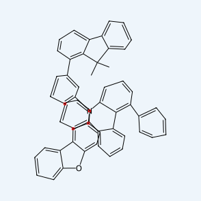 CC1(C)c2ccccc2-c2cccc(-c3cccc(N(c4ccc5oc6ccccc6c5c4)c4cccc(-c5ccccc5)c4-c4ccccc4-c4ccccc4)c3)c21